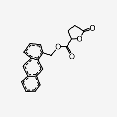 O=C1CCC(C(=O)OCc2cccc3cc4ccccc4cc23)O1